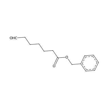 O=[C]CCCCCC(=O)OCc1ccccc1